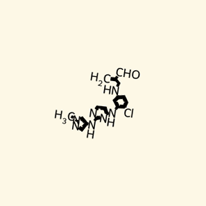 C=C(C=O)CNc1ccc(Cl)c(Nc2ccnc(Nc3cnn(C)c3)n2)c1